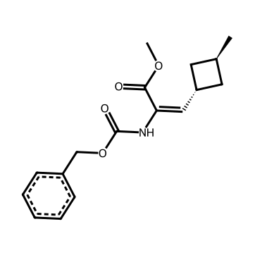 COC(=O)C(=C[C@H]1C[C@H](C)C1)NC(=O)OCc1ccccc1